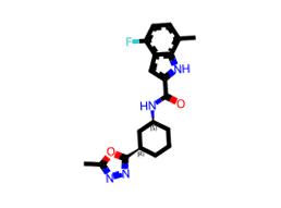 Cc1nnc([C@@H]2CCC[C@H](NC(=O)c3cc4c(F)ccc(C)c4[nH]3)C2)o1